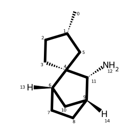 C[C@H]1CC[C@@]2(C1)[C@H]1CC[C@H](C1)[C@H]2N